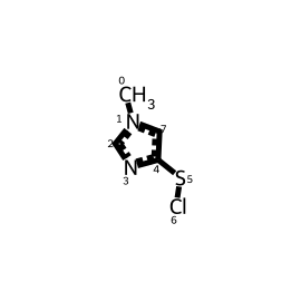 Cn1cnc(SCl)c1